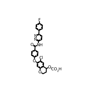 O=C(O)OC1CCOc2cc(Oc3ccc(C(=O)Nc4ccc(-c5ccc(F)cc5)nn4)cc3)c(Cl)cc21